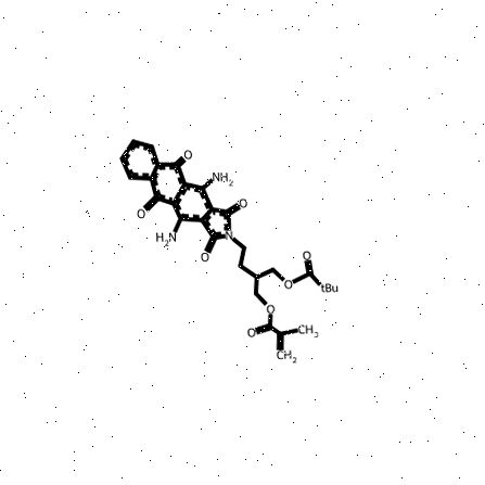 C=C(C)C(=O)OCC(CCn1c(=O)c2c(N)c3c(=O)c4ccccc4c(=O)c3c(N)c2c1=O)COC(=O)C(C)(C)C